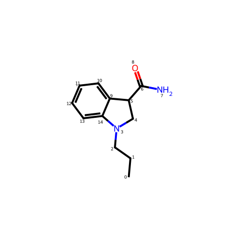 CCCN1CC(C(N)=O)c2c[c]ccc21